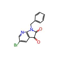 O=C1C(=O)N(Cc2ccccc2)c2ncc(Br)cc21